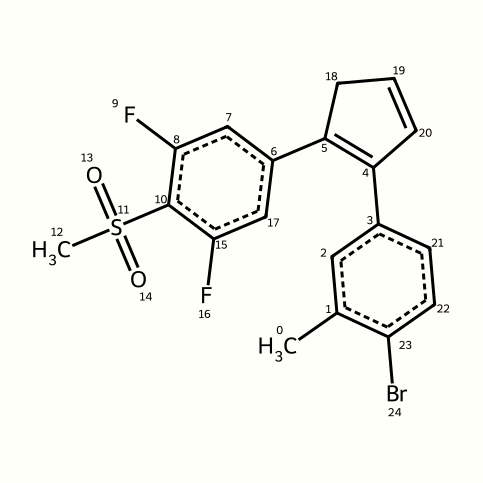 Cc1cc(C2=C(c3cc(F)c(S(C)(=O)=O)c(F)c3)CC=C2)ccc1Br